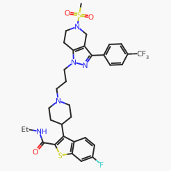 CCNC(=O)c1sc2cc(F)ccc2c1C1CCN(CCCn2nc(-c3ccc(C(F)(F)F)cc3)c3c2CCN(S(C)(=O)=O)C3)CC1